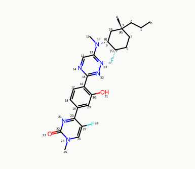 CCC[C@]1(C)CC[C@H](F)[C@H](N(C)c2cnc(-c3ccc(-c4nc(=O)n(C)cc4F)cc3O)nn2)C1